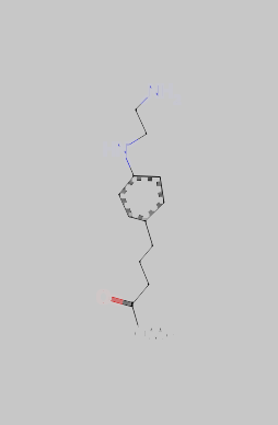 COC(=O)CCCc1ccc(NCCN)cc1